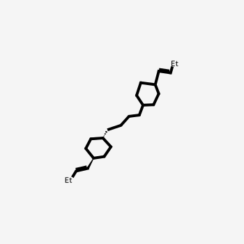 CCC=CC1CCC(CCCC[C@H]2CC[C@H](C=CCC)CC2)CC1